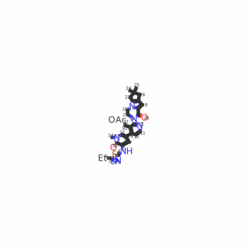 CCc1nnc(Nc2cc(-c3ccnc(N4CCn5c(cc6c5CC(C)(C)C6)C4=O)c3COC(C)=O)cn(C)c2=O)s1